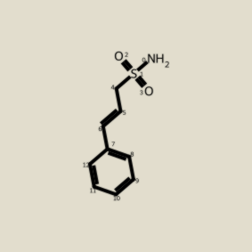 NS(=O)(=O)CC=Cc1ccccc1